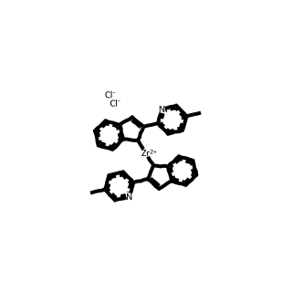 Cc1ccc(C2=Cc3ccccc3[CH]2[Zr+2][CH]2C(c3ccc(C)cn3)=Cc3ccccc32)nc1.[Cl-].[Cl-]